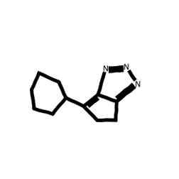 C1CCC(C2=C3N=NN=C3CC2)CC1